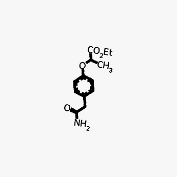 CCOC(=O)C(C)Oc1ccc(CC(N)=O)cc1